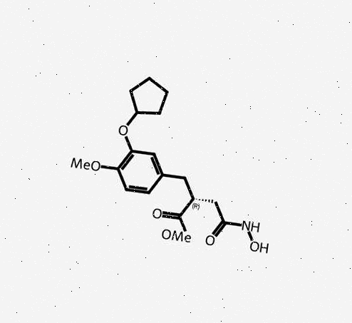 COC(=O)[C@@H](CC(=O)NO)Cc1ccc(OC)c(OC2CCCC2)c1